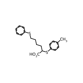 Cc1ccc(SC(CCCCSc2ccccc2)C(=O)O)cc1